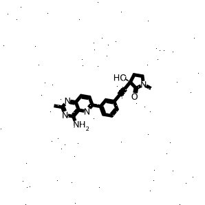 Cc1nc(N)c2nc(-c3cccc(C#C[C@@]4(O)CCN(C)C4=O)c3)ccc2n1